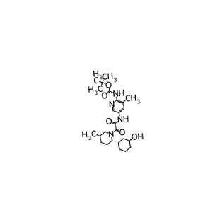 Cc1cc(NC(=O)C(=O)N2C[C@H](C)CC[C@H]2C2CCC[C@H](O)C2)cnc1NC(=O)OC(C)(C)C